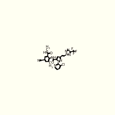 CNC(=O)c1cc(C#N)cc(C)c1NC(=O)c1cc(/C=C/n2nnc(C(F)(F)F)n2)nn1-c1ncccc1Cl